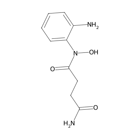 NC(=O)CCC(=O)N(O)c1ccccc1N